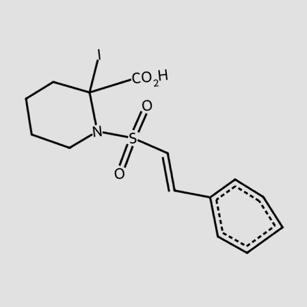 O=C(O)C1(I)CCCCN1S(=O)(=O)C=Cc1ccccc1